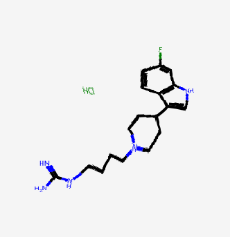 Cl.N=C(N)NCCCCN1CCC(c2c[nH]c3cc(F)ccc23)CC1